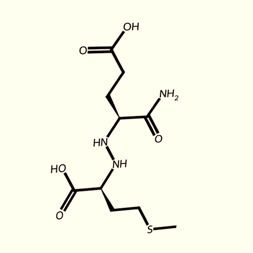 CSCC[C@H](NN[C@@H](CCC(=O)O)C(N)=O)C(=O)O